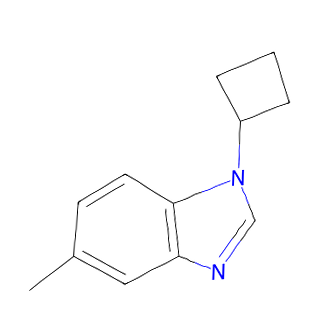 Cc1ccc2c(c1)ncn2C1CCC1